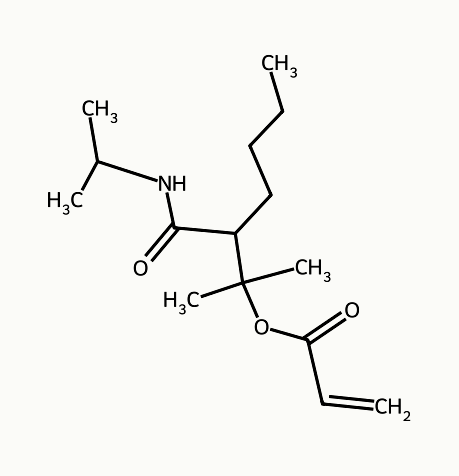 C=CC(=O)OC(C)(C)C(CCCC)C(=O)NC(C)C